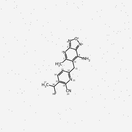 Cc1nc2nonc2c(N)c1Cc1ccc(C(C)F)c(C#N)n1